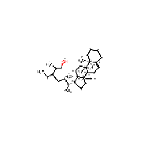 CCC(CCC(C)[C@H]1CC[C@H]2[C@@H]3CC=C4CCCC[C@]4(C)[C@H]3CC[C@]12C)C(C)CO